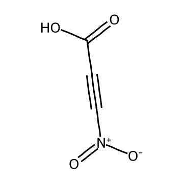 O=C(O)C#C[N+](=O)[O-]